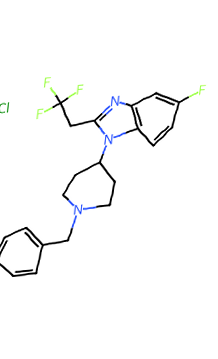 Cl.Fc1ccc2c(c1)nc(CC(F)(F)F)n2C1CCN(Cc2ccccc2)CC1